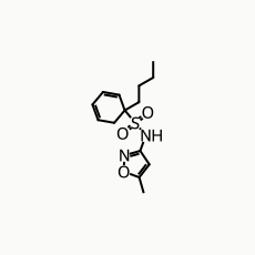 CCCCC1(S(=O)(=O)Nc2cc(C)on2)C=CC=CC1